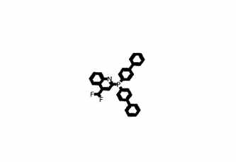 FC(F)c1cc(P(c2ccc(-c3ccccc3)cc2)c2ccc(-c3ccccc3)cc2)nc2ccccc12